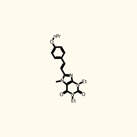 CCCOc1ccc(C=Cc2nc3c(c(=O)n(CC)c(=O)n3CC)n2C)cc1